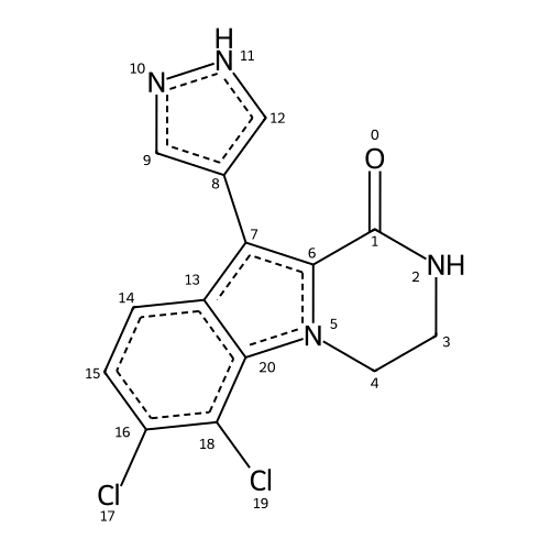 O=C1NCCn2c1c(-c1cn[nH]c1)c1ccc(Cl)c(Cl)c12